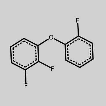 Fc1c[c]ccc1Oc1cccc(F)c1F